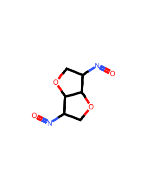 O=NC1COC2C(N=O)COC12